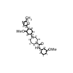 COc1cccc(NC(=O)N2CCCN(c3ccc(-c4cnc(C)o4)c(OC)c3)CC2)c1